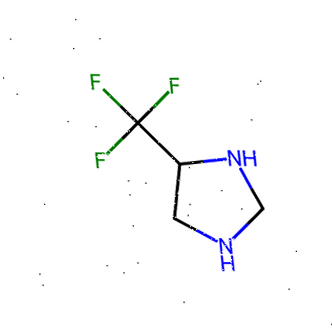 FC(F)(F)C1CNCN1